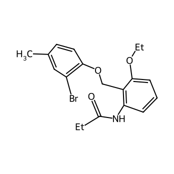 CCOc1cccc(NC(=O)CC)c1COc1ccc(C)cc1Br